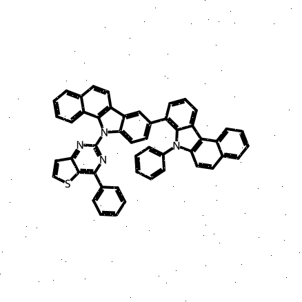 c1ccc(-c2nc(-n3c4ccc(-c5cccc6c7c8ccccc8ccc7n(-c7ccccc7)c56)cc4c4ccc5ccccc5c43)nc3ccsc23)cc1